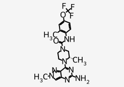 Cc1cc(OC(F)(F)F)ccc1NC(=O)N1CCN(c2nc(N)nc3cn(C)nc23)[C@@H](C)C1